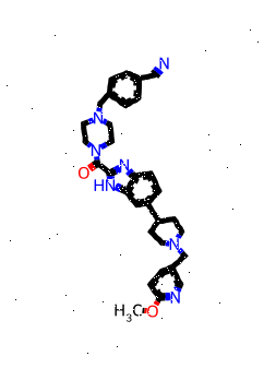 COc1ccc(CN2CCC(c3ccc4nc(C(=O)N5CCN(Cc6ccc(C#N)cc6)CC5)[nH]c4c3)CC2)cn1